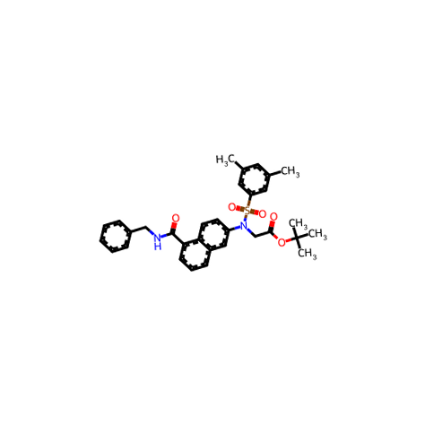 Cc1cc(C)cc(S(=O)(=O)N(CC(=O)OC(C)(C)C)c2ccc3c(C(=O)NCc4ccccc4)cccc3c2)c1